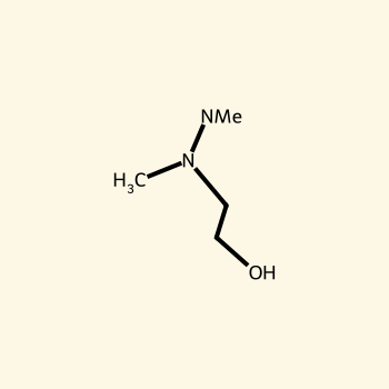 CNN(C)CCO